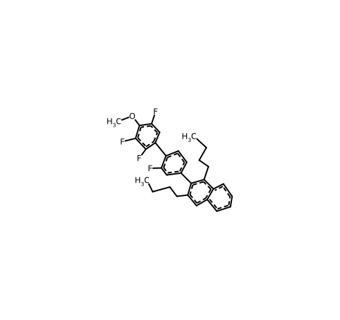 CCCCc1cc2ccccc2c(CCCC)c1-c1ccc(-c2cc(F)c(OC)c(F)c2F)c(F)c1